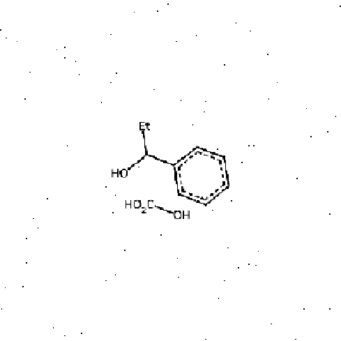 CCC(O)c1ccccc1.O=C(O)O